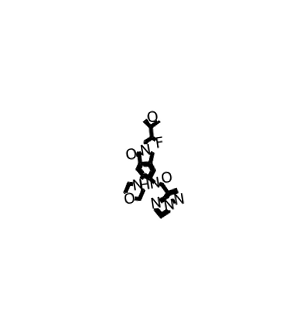 O=C(Nc1cc2c(cc1N1CCOCC1)C(=O)N(CC(F)C1COC1)C2)c1cnn2cccnc12